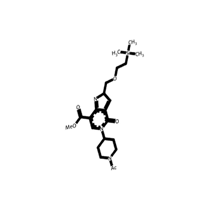 COC(=O)c1cn(C2CCN(C(C)=O)CC2)c(=O)c2c1=NC(COCC[Si](C)(C)C)C=2